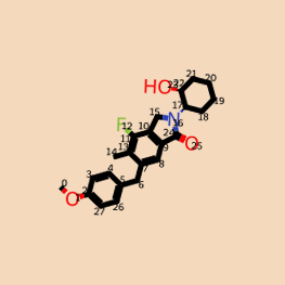 COc1ccc(Cc2cc3c(c(F)c2C)CN([C@H]2CCCC[C@@H]2O)C3=O)cc1